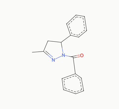 CC1=NN(C(=O)c2ccccc2)C(c2ccccc2)C1